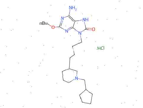 CCCCOc1nc(N)c2[nH]c(=O)n(CCCCC3CCCN(CC4CCCC4)C3)c2n1.Cl